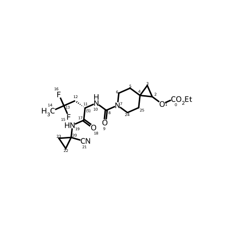 CCOC(=O)OC1CC12CCN(C(=O)N[C@@H](CC(C)(F)F)C(=O)NC1(C#N)CC1)CC2